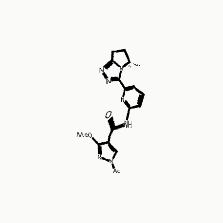 COc1nn(C(C)=O)cc1C(=O)Nc1cccc(-c2nnc3n2[C@@H](C)CC3)n1